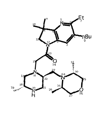 CCCCc1cc2c(nc1CC)C(C)(C)CN2C(=O)CN1C[C@@H](C)NC[C@@H]1CN1[C@H](C)COC[C@H]1C